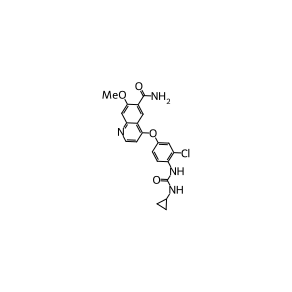 COc1cc2nccc(Oc3ccc(NC(=O)NC4CC4)c(Cl)c3)c2cc1C(N)=O